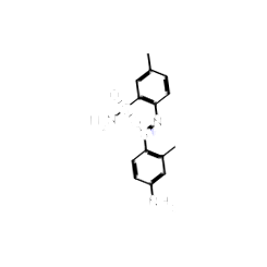 Cc1ccc(/N=N/c2ccc(N)cc2C)c(S(N)(=O)=O)c1